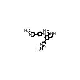 Cc1cc(-c2ccc(Nc3nc(-c4cnc(N)nc4)cc4cc[nH]c(=O)c34)cc2)ccn1